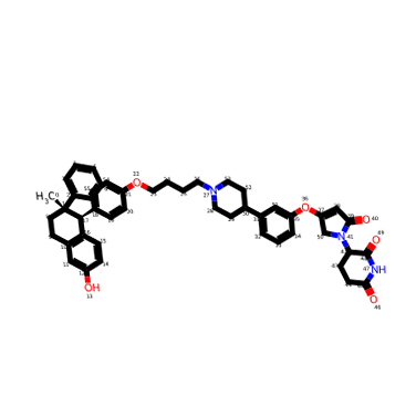 C[C@]1(c2ccccc2)CCc2cc(O)ccc2[C@@H]1c1ccc(OCCCCN2CCC(c3cccc(OC4=CC(=O)N(C5CCC(=O)NC5=O)C4)c3)CC2)cc1